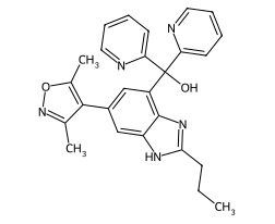 CCCc1nc2c(C(O)(c3ccccn3)c3ccccn3)cc(-c3c(C)noc3C)cc2[nH]1